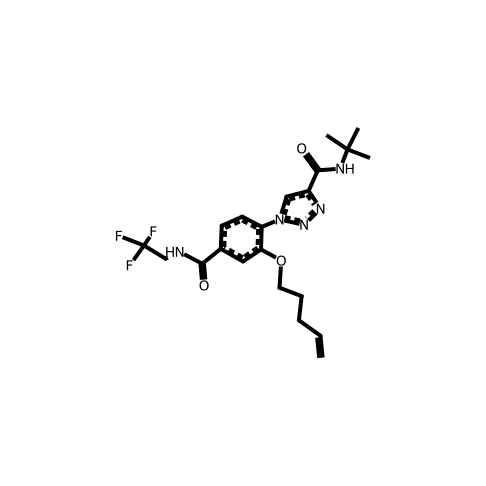 C=CCCCOc1cc(C(=O)NCC(F)(F)F)ccc1-n1cc(C(=O)NC(C)(C)C)nn1